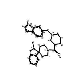 CN(C)C1(c2ccccc2)CCN(C(=O)C2CCCN(Cc3ccc4cc[nH]c4c3)C2)CC1